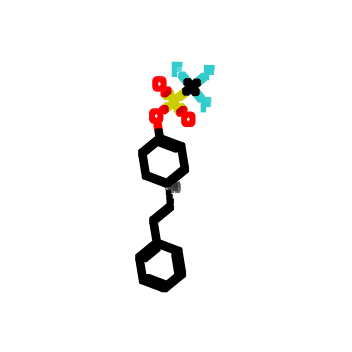 O=S(=O)(OC1=CC[C@H](CCc2ccccc2)CC1)C(F)(F)F